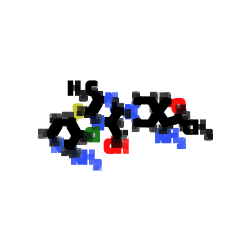 Cc1nc(N2CCC3(CC2)CO[C@@H](C)[C@H]3N)c(CO)nc1Sc1ccnc(N)c1Cl